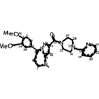 COc1ccc(-c2ccnc3cc(C(=O)N4CCN(c5ccccn5)CC4)nn23)cc1OC